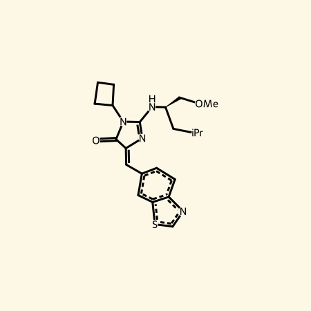 COC[C@@H](CC(C)C)NC1=N/C(=C\c2ccc3ncsc3c2)C(=O)N1C1CCC1